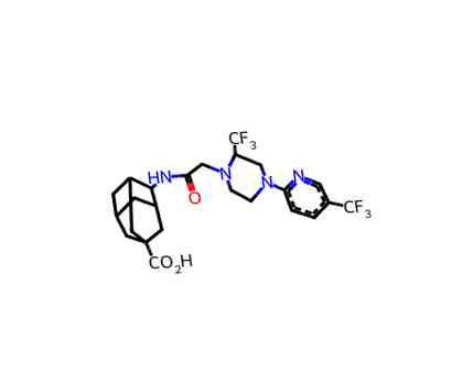 O=C(CN1CCN(c2ccc(C(F)(F)F)cn2)CC1C(F)(F)F)NC1C2CC3CC1CC(C(=O)O)(C3)C2